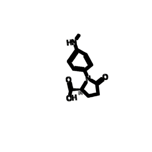 CNc1ccc(N2C(=O)CC[C@H]2C(=O)O)cc1